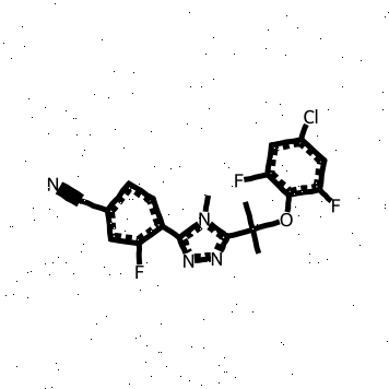 Cn1c(-c2ccc(C#N)cc2F)nnc1C(C)(C)Oc1c(F)cc(Cl)cc1F